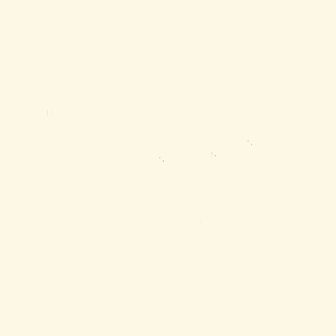 CS(=O)(=O)OCc1cc(Oc2cnc(N3CCCCC3)c(F)c2)nc(-c2cc(Cl)cc(Cl)c2)c1